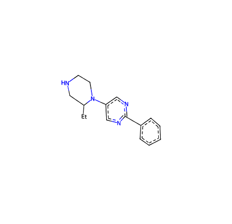 CCC1CNCCN1c1cnc(-c2ccccc2)nc1